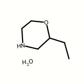 CCC1CNCCO1.O